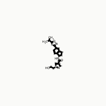 CC(C)c1nc(-c2ccc3c(c2)CC[C@H]3NC(=O)c2cnn(CCO)c2)no1